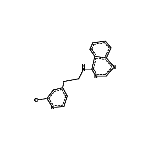 Clc1cc(CCNc2ncnc3ccccc23)ccn1